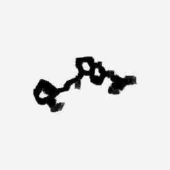 O=C(O)Oc1ccc2c(n1)CCCC2NCCc1ccccc1O